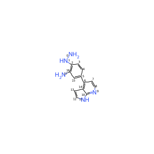 NNc1ccc(-c2ccnc3[nH]ccc23)cc1N